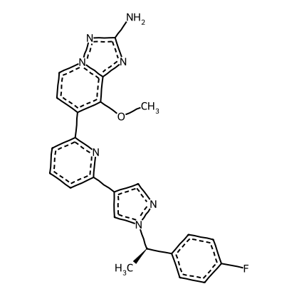 COc1c(-c2cccc(-c3cnn([C@H](C)c4ccc(F)cc4)c3)n2)ccn2nc(N)nc12